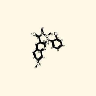 COc1ccc2cc(C(=O)N(C)OC)c(Nc3ccccc3Cl)nc2c1